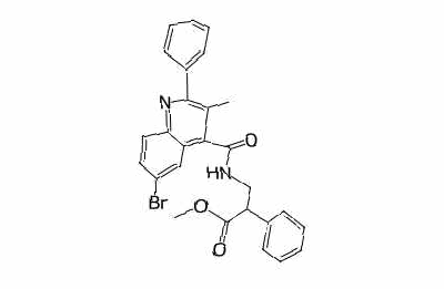 COC(=O)C(CNC(=O)c1c(C)c(-c2ccccc2)nc2ccc(Br)cc12)c1ccccc1